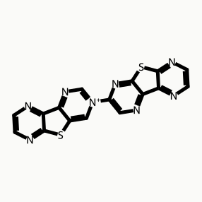 c1cnc2c(n1)sc1c[n+](-c3cnc4c(n3)sc3nccnc34)cnc12